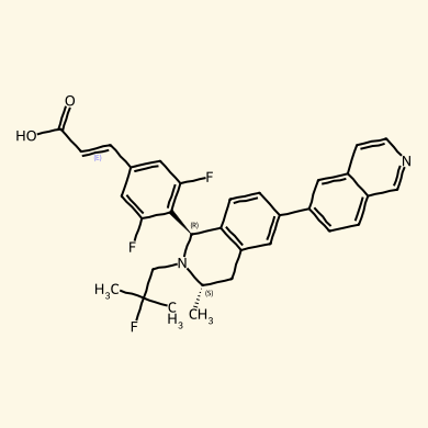 C[C@H]1Cc2cc(-c3ccc4cnccc4c3)ccc2[C@H](c2c(F)cc(/C=C/C(=O)O)cc2F)N1CC(C)(C)F